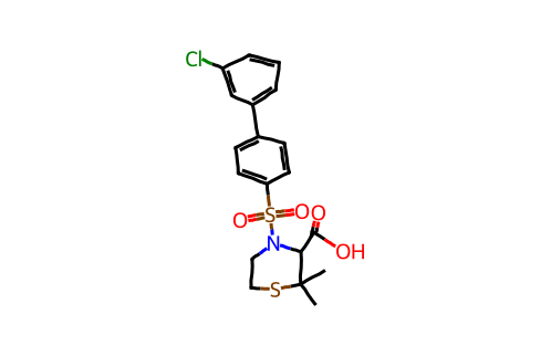 CC1(C)SCCN(S(=O)(=O)c2ccc(-c3cccc(Cl)c3)cc2)C1C(=O)O